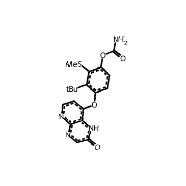 CSc1c(OC(N)=O)ccc(Oc2ccnc3ncc(=O)[nH]c23)c1C(C)(C)C